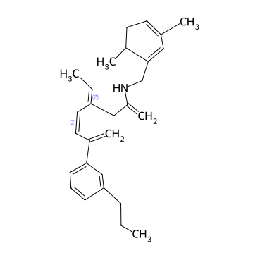 C=C(CC(/C=C\C(=C)c1cccc(CCC)c1)=C/C)NCC1=CC(C)=CCC1C